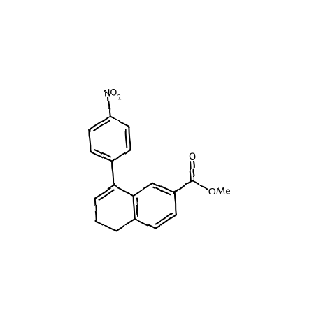 COC(=O)c1ccc2c(c1)C(c1ccc([N+](=O)[O-])cc1)=CCC2